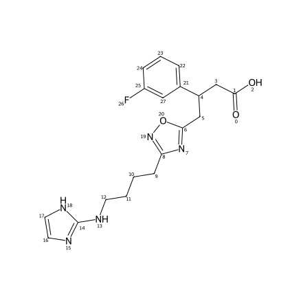 O=C(O)CC(Cc1nc(CCCCNc2ncc[nH]2)no1)c1cccc(F)c1